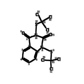 O=c1c2ccccc2n(SC(Cl)(Cl)Cl)c(=O)n1SC(Cl)(Cl)Cl